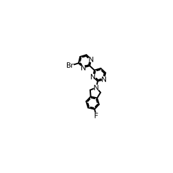 Fc1ccc2c(c1)CN(c1nccc(-c3nccc(Br)n3)n1)C2